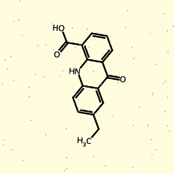 CCc1ccc2[nH]c3c(C(=O)O)cccc3c(=O)c2c1